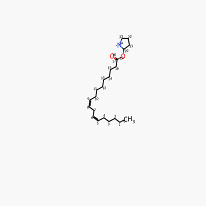 CCCCC/C=C\C/C=C\CCCCCCCC(=O)OC1CCC[N]1